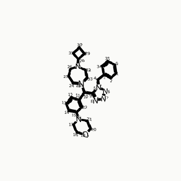 c1ccc(Cn2nnnc2C(c2cccc(N3CCOCC3)c2)N2CCCN(C3CCC3)CC2)cc1